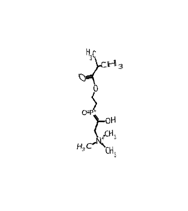 CC(C)C(=O)OCC/[P+]([O-])=C(\O)C[N+](C)(C)C